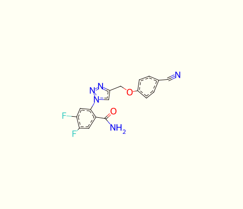 N#Cc1ccc(OCc2cn(-c3cc(F)c(F)cc3C(N)=O)nn2)cc1